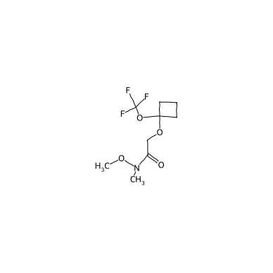 CON(C)C(=O)COC1(OC(F)(F)F)CCC1